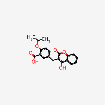 CC(C)Oc1ccc(Cc2c(O)c3ccccc3oc2=O)cc1C(=O)O